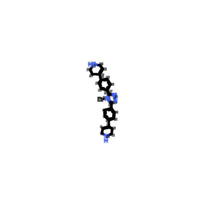 CCn1c(-c2ccc(C3=CCNCC3)cc2)nnc1-c1ccc(C2=CCNCC2)cc1